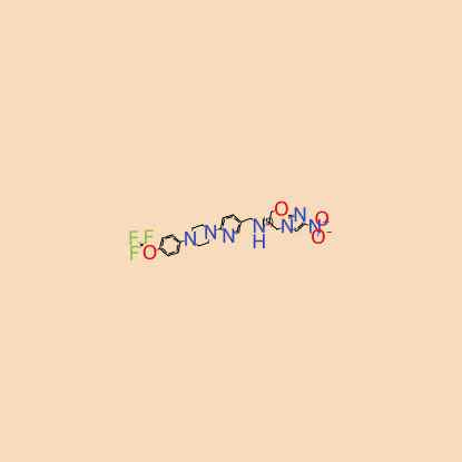 O=[N+]([O-])c1cn2c(n1)OC[C@@H](NCc1ccc(N3CCN(c4ccc(OC(F)(F)F)cc4)CC3)nc1)C2